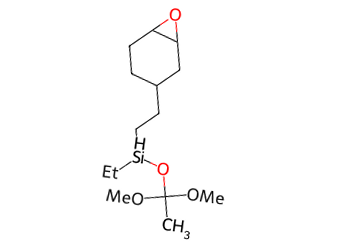 CC[SiH](CCC1CCC2OC2C1)OC(C)(OC)OC